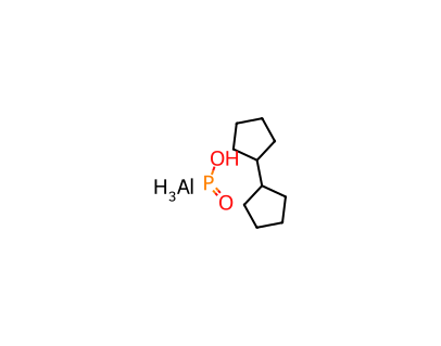 C1CCC(C2CCCC2)C1.O=PO.[AlH3]